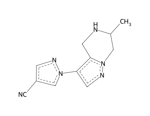 CC1Cn2ncc(-n3cc(C#N)cn3)c2CN1